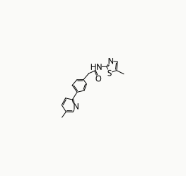 Cc1ccc(-c2ccc(CC(=O)Nc3ncc(C)s3)cc2)nc1